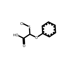 O=C(O)C(Oc1ccccc1)SCl